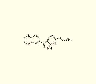 CCOc1ncc2c(-c3ccc4ncccc4c3)c[nH]c2n1